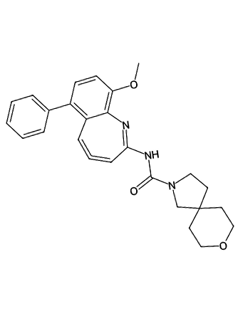 COc1ccc(-c2ccccc2)c2c1N=C(NC(=O)N1CCC3(CCOCC3)C1)C=C=C2